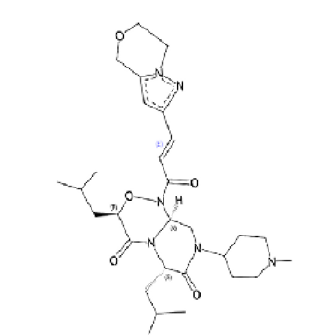 CC(C)C[C@H]1ON(C(=O)/C=C/c2cc3n(n2)CCOC3)[C@H]2CN(C3CCN(C)CC3)C(=O)[C@H](CC(C)C)N2C1=O